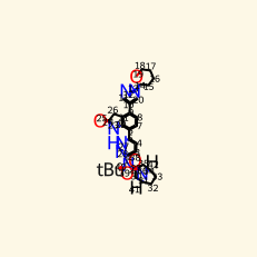 CN(c1ccc(-c2ccc(-c3cnn(C4CCCCO4)c3)c3c2NC(=O)C3)nn1)C1C[C@H]2CC[C@@H](C1)N2C(=O)OC(C)(C)C